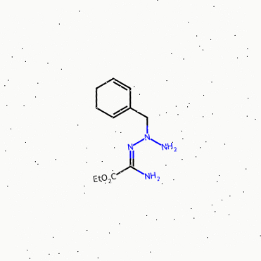 CCOC(=O)/C(N)=N/N(N)CC1=CCCC=C1